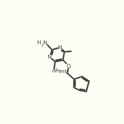 CCCCCc1nc(N)nc(C)c1OCc1ccccc1